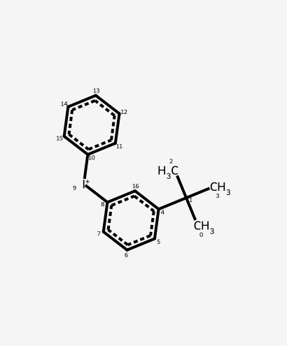 CC(C)(C)c1cccc([I+]c2ccccc2)c1